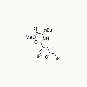 CCCC[C@H](NC(=O)[C@H](CC(C)C)NC(=O)CC(C)C)C(=O)OC